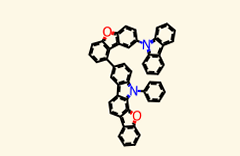 c1ccc(-n2c3ccc(-c4cccc5oc6ccc(-n7c8ccccc8c8ccccc87)cc6c45)cc3c3ccc4c5ccccc5oc4c32)cc1